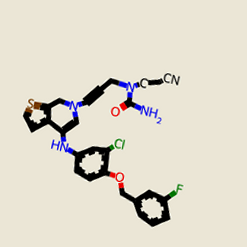 N#CCCN(CC#CN1C=C(Nc2ccc(OCc3cccc(F)c3)c(Cl)c2)c2ccsc2C1)C(N)=O